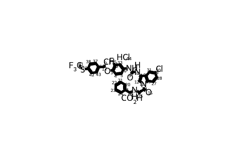 CC(Oc1ccc(NC(=O)Nc2cn(C(=O)C(NCc3ccccc3)C(=O)O)c3ccc(Cl)cc23)cc1F)c1ccc(SC(F)(F)F)cc1.Cl